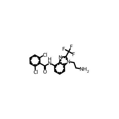 NCCn1c(C(F)(F)F)nc2c(NC(=O)c3c(Cl)cccc3Cl)cccc21